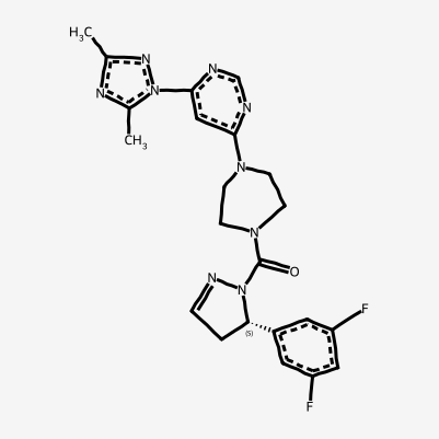 Cc1nc(C)n(-c2cc(N3CCN(C(=O)N4N=CC[C@H]4c4cc(F)cc(F)c4)CC3)ncn2)n1